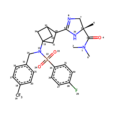 CN(C)C(=O)[C@@]1(C)CN=C(C2CC3(N(Cc4ccc(C(F)(F)F)cc4)S(=O)(=O)c4ccc(F)cc4)CC2C3)N1